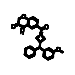 COc1cccc(C(c2ccccc2)C2CN(C(=O)c3ccc4c(c3)NC(=O)CO4)C2)c1